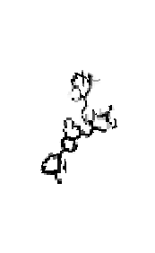 Cc1cccc(-c2ccc(-c3cc4cnc(C)nc4n(CCC4CNCCO4)c3=O)c(C)c2)n1